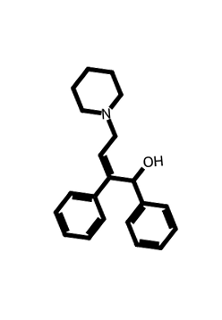 OC(C(=CCN1CCCCC1)c1ccccc1)c1ccccc1